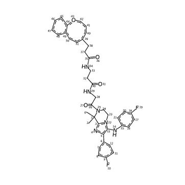 CC1(C)c2nc(-c3ccc(F)cc3)c(Nc3ccc(F)cc3)n2CCN1C(=O)CNC(=O)CCNC(=O)CCc1cccoc2ccccc2cc1